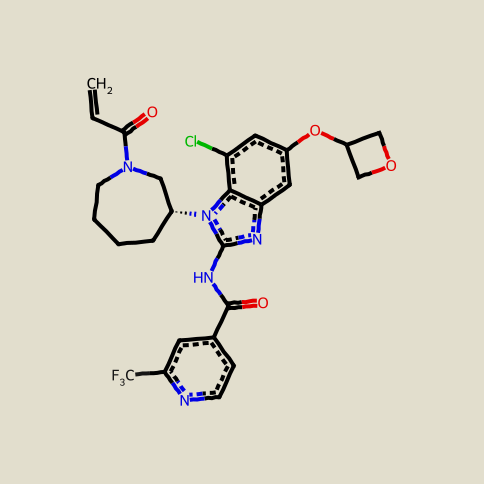 C=CC(=O)N1CCCC[C@@H](n2c(NC(=O)c3ccnc(C(F)(F)F)c3)nc3cc(OC4COC4)cc(Cl)c32)C1